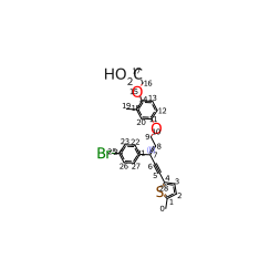 Cc1ccc(C#C/C(=C/COc2ccc(OCC(=O)O)c(C)c2)c2ccc(Br)cc2)s1